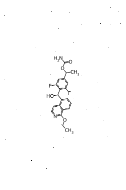 CCOc1nccc2c(C(O)c3c(F)cc(C(C)OC(N)=O)cc3F)cccc12